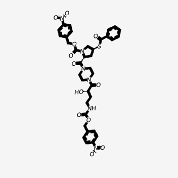 O=C(NCC[C@H](O)C(=O)N1CCN(C(=O)[C@@H]2C[C@H](SC(=O)c3ccccc3)CN2C(=O)OCc2ccc([N+](=O)[O-])cc2)CC1)OCc1ccc([N+](=O)[O-])cc1